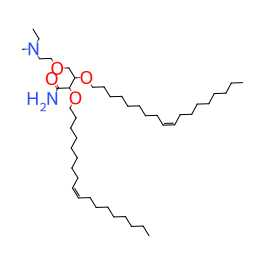 CCCCCCCC/C=C\CCCCCCCCOC(COCCN(C)CC)C(OCCCCCCCC/C=C\CCCCCCCC)C(N)=O